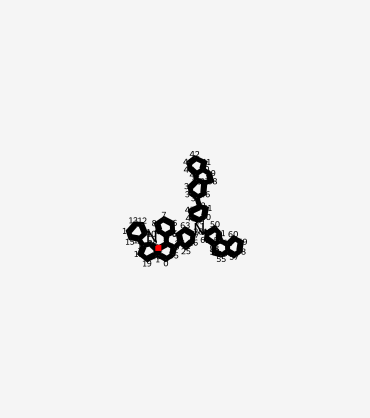 c1ccc(-c2ccccc2-n2c3ccccc3c3ccccc32)c(-c2ccc(N(c3ccc(-c4ccc5c(ccc6ccccc65)c4)cc3)c3ccc4c(ccc5ccccc54)c3)cc2)c1